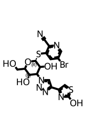 N#Cc1ncc(Br)cc1S[C@H]1OC(CO)[C@H](O)C(n2cc(-c3csc(O)n3)nn2)C1O